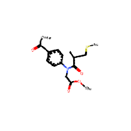 COC(=O)c1ccc(N(CC(=O)OC(C)(C)C)C(=O)C(C)CSC(C)=O)cc1